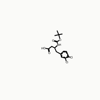 CC(C)(C)OC(=O)NC(CC(=O)O)Cc1ccc(Cl)c(Cl)c1